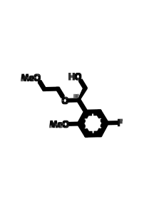 COCCO[C@@H](CO)c1cc(F)ccc1OC